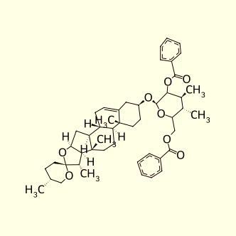 C[C@@H]1CC[C@@]2(OC1)O[C@H]1C[C@H]3[C@@H]4CC=C5C[C@@H](O[C@@H]6OC(COC(=O)c7ccccc7)[C@@H](C)[C@H](C)C6OC(=O)c6ccccc6)CC[C@]5(C)[C@H]4CC[C@]3(C)[C@H]1[C@@H]2C